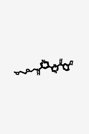 COCCOCCNc1cncc(-c2cncc(Nc3cccc(Cl)c3)n2)c1